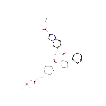 CCOC(=O)c1cc2cc(N(C)C(=O)[C@@H]3[C@H](c4ccccc4)CCN3C(=O)[C@H]3CC[C@H](CNC(=O)OC(C)(C)C)CC3)ccc2[nH]1